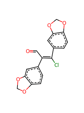 O=CC(=C(Cl)c1ccc2c(c1)OCO2)c1ccc2c(c1)OCO2